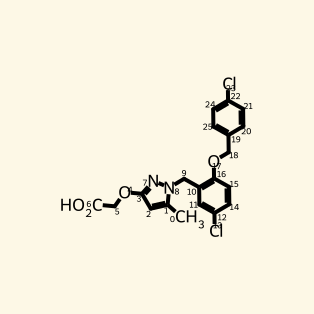 Cc1cc(OCC(=O)O)nn1Cc1cc(Cl)ccc1OCc1ccc(Cl)cc1